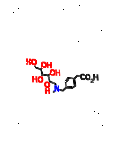 CN(Cc1ccc(CC(=O)O)cc1)CC(O)C(O)C(O)C(O)CO